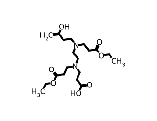 C=C(O)CCN(CCC(=O)OCC)CCN(CCC(=O)O)CCC(=O)OCC